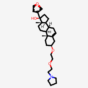 C[C@]12CC[C@H](OCCOCCN3CCCC3)CC1=CC[C@@H]1[C@@H]2CC[C@@]2(C)[C@H]1CC[C@@]2(O)c1ccoc1